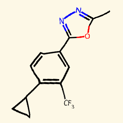 Cc1nnc(-c2ccc(C3CC3)c(C(F)(F)F)c2)o1